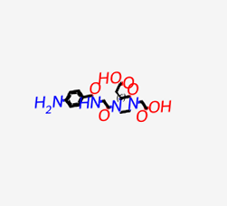 Nc1ccc(C(=O)NCC(=O)N2CCN(CC(=O)O)C(=O)[C@@H]2CC(=O)O)cc1